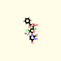 C[C@]1(Cl)[C@H](n2ccc(=O)[nH]c2=O)O[C@](F)(CO)[C@H]1OC(=O)c1ccccc1